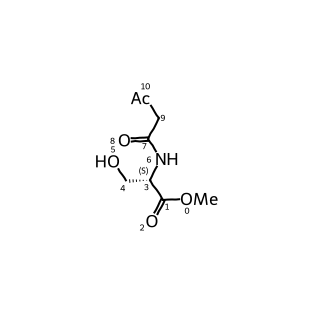 COC(=O)[C@H](CO)NC(=O)CC(C)=O